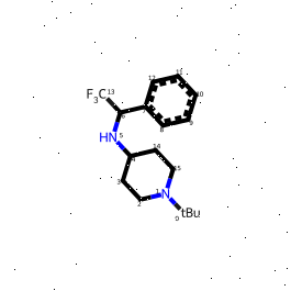 CC(C)(C)N1CCC(NC(c2ccccc2)C(F)(F)F)CC1